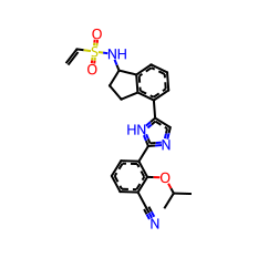 C=CS(=O)(=O)NC1CCc2c(-c3cnc(-c4cccc(C#N)c4OC(C)C)[nH]3)cccc21